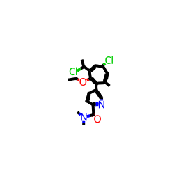 CCOC1=C(c2ccc(C(=O)N(C)C)nc2)C(C)=CC(Cl)C=C1C(C)Cl